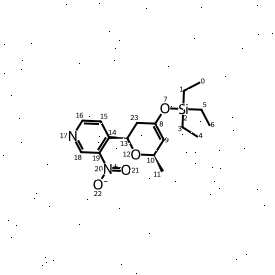 CC[Si](CC)(CC)OC1=C[C@@H](C)O[C@@H](c2ccncc2[N+](=O)[O-])C1